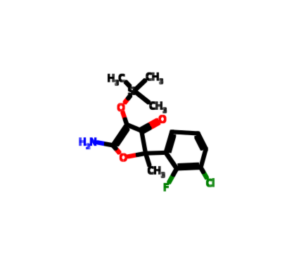 CC1(c2cccc(Cl)c2F)OC(N)=C(O[Si](C)(C)C)C1=O